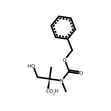 CN(C(=O)OCc1ccccc1)[C@@](C)(CO)C(=O)O